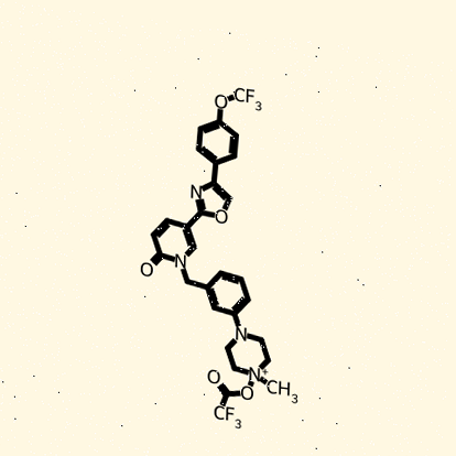 C[N+]1(OC(=O)C(F)(F)F)CCN(c2cccc(Cn3cc(-c4nc(-c5ccc(OC(F)(F)F)cc5)co4)ccc3=O)c2)CC1